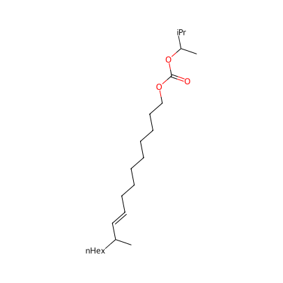 CCCCCCC(C)/C=C/CCCCCCCCOC(=O)OC(C)C(C)C